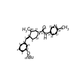 CCCCOc1cccc(C=C2CCN(C(=O)Nc3ccc(C)nc3)CC2C)c1